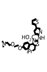 CC(C)CC1SC(Nc2ncc(-c3cccs3)cc2C(=O)O)=NC1c1ccc(OCCOCCN(C)C)cc1